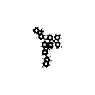 CC1(C)c2ccccc2-c2ccc(N(c3ccc4c(c3)C(C)(C)c3cc(-c5ccc6ccccc6c5)ccc3-4)c3cccc4c3-c3ccccc3C4(c3ccccc3)c3ccccc3)cc21